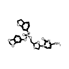 Nc1ccn(C2CSC(COP(=O)(Oc3ccc4c(c3)OCC4)Oc3ccc4c(c3)OCO4)O2)c(=O)n1